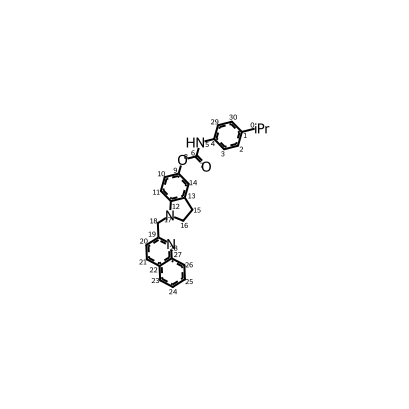 CC(C)c1ccc(NC(=O)Oc2ccc3c(c2)CCN3Cc2ccc3ccccc3n2)cc1